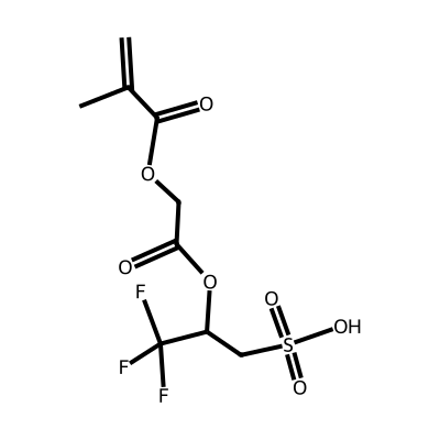 C=C(C)C(=O)OCC(=O)OC(CS(=O)(=O)O)C(F)(F)F